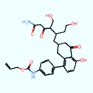 C=CCOC(=O)Nc1ccc(-c2ccc(O)c3c2CC(CC(CCO)C(CO)C(=O)CC(N)=O)CC3=O)cc1